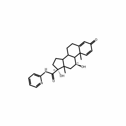 CC12C=CC(=O)C=C1CCC1C2[C@@H](O)CC2(C)C1CC[C@]2(O)C(=O)Nc1ccccn1